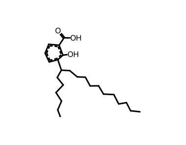 CCCCCCCCCCCC(CCCCCC)c1cccc(C(=O)O)c1O